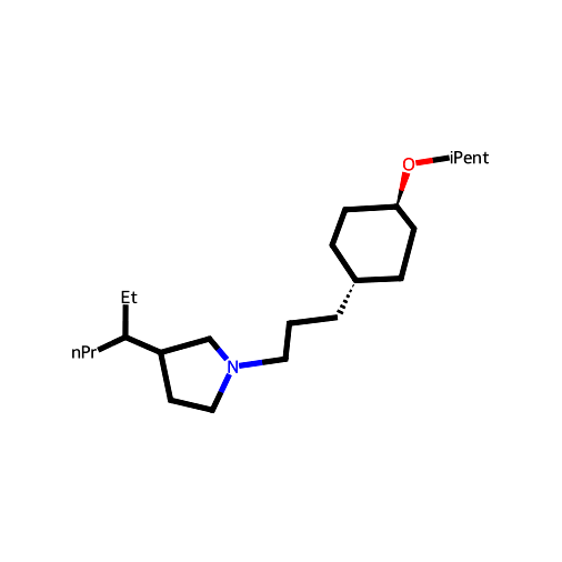 CCCC(C)O[C@H]1CC[C@H](CCCN2CCC(C(CC)CCC)C2)CC1